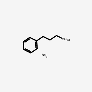 CCCCCCCCCc1cc[c]cc1.N